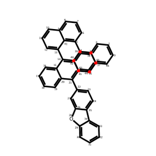 c1ccc2c(-c3cccc4cccc(-c5c6ccccc6c(-c6ccc7c(c6)oc6ccccc67)c6ccccc56)c34)cccc2c1